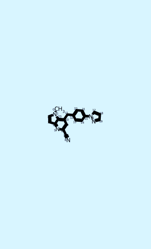 Cn1ccc2nc(C#N)cc(Cc3ccc(-n4cccn4)cc3)c21